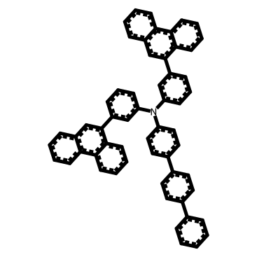 c1ccc(-c2ccc(-c3ccc(N(c4cccc(-c5cc6ccccc6c6ccccc56)c4)c4cccc(-c5cc6ccccc6c6ccccc56)c4)cc3)cc2)cc1